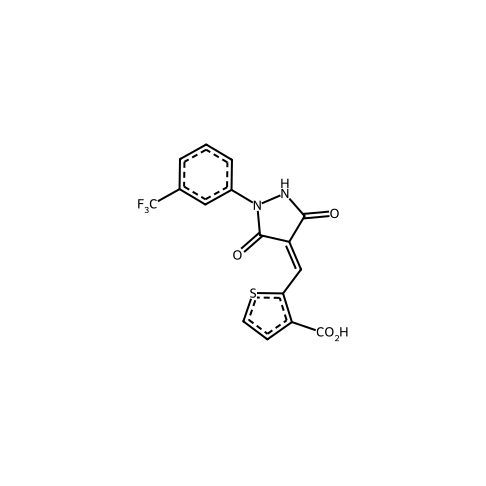 O=C1NN(c2cccc(C(F)(F)F)c2)C(=O)C1=Cc1sccc1C(=O)O